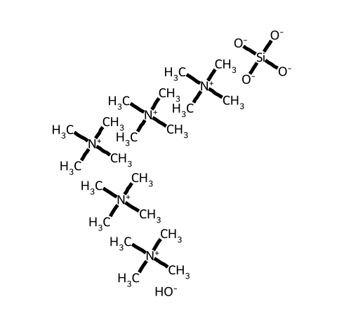 C[N+](C)(C)C.C[N+](C)(C)C.C[N+](C)(C)C.C[N+](C)(C)C.C[N+](C)(C)C.[O-][Si]([O-])([O-])[O-].[OH-]